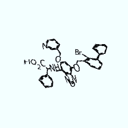 O=C(O)C(NCc1c(OCc2cccnc2)cc(OCc2cccc(-c3ccccc3)c2Br)c2nonc12)c1ccccc1